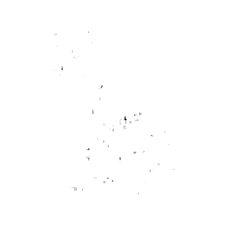 Cc1cccc(C)c1-c1nc(Br)sc1-c1cccc(OCC(C)(C)C(F)(F)F)c1